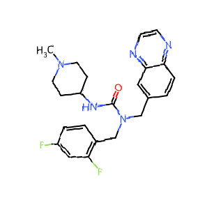 CN1CCC(NC(=O)N(Cc2ccc3nccnc3c2)Cc2ccc(F)cc2F)CC1